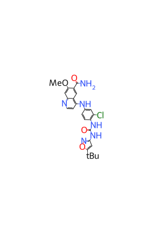 COc1cc2nccc(Nc3ccc(NC(=O)Nc4cc(C(C)(C)C)on4)c(Cl)c3)c2cc1C(N)=O